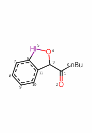 CCCCC(=O)C1O[IH]c2ccccc21